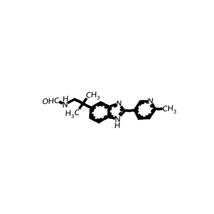 Cc1ccc(-c2nc3cc(C(C)(C)CNC=O)ccc3[nH]2)cn1